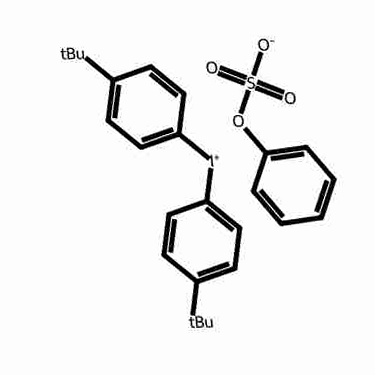 CC(C)(C)c1ccc([I+]c2ccc(C(C)(C)C)cc2)cc1.O=S(=O)([O-])Oc1ccccc1